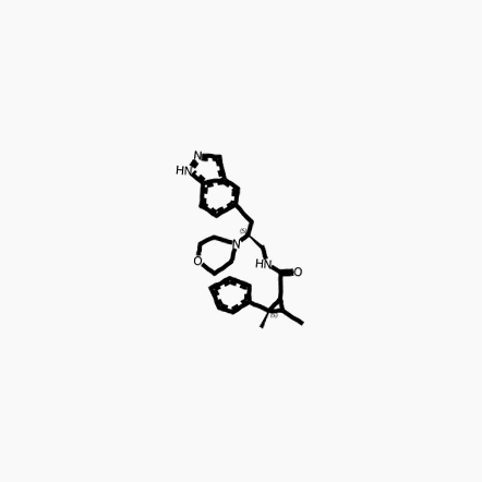 CC1C(C(=O)NC[C@H](Cc2ccc3[nH]ncc3c2)N2CCOCC2)[C@@]1(C)c1ccccc1